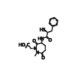 CN1C(=O)CC[C@H](NC(=O)[C@@H](S)Cc2ccccc2)C(=O)N1CC(=O)O